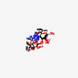 CCCCC(CC)[C@H](C)C1OC(CO)[C@@H](O)C(O[C@@H]2OC(C(=O)O)[C@@H](O[C@](C)(CC)CCC)C(O)C2O)C1NC(N)=O